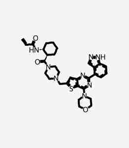 C=CC(=O)N[C@@H]1CCCC[C@H]1C(=O)N1CCN(Cc2cc3nc(-c4cccc5[nH]ncc45)nc(N4CCOCC4)c3s2)CC1